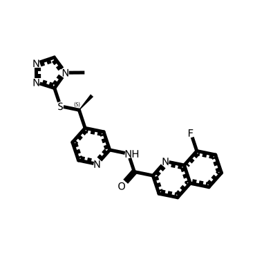 C[C@H](Sc1nncn1C)c1ccnc(NC(=O)c2ccc3cccc(F)c3n2)c1